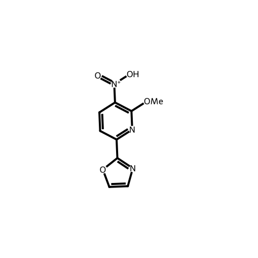 COc1nc(-c2ncco2)ccc1[N+](=O)O